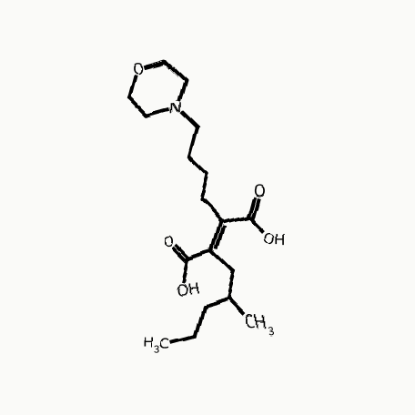 CCCC(C)C/C(C(=O)O)=C(/CCCCN1CCOCC1)C(=O)O